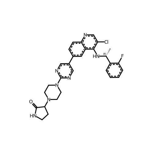 C[C@@H](Nc1c(Cl)cnc2ccc(-c3cnc(N4CCN(C5CCNC5=O)CC4)nc3)cc12)c1ccccc1F